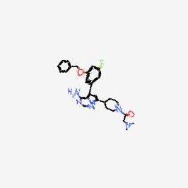 CN(C)CC(=O)N1CCC(c2cc(-c3cc(F)cc(OCc4ccccc4)c3)c3c(N)ncnn23)CC1